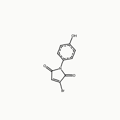 O=C1C=C(Br)C(=O)N1c1ccc(O)cc1